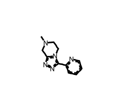 CN1CCn2c(nnc2-c2ccccn2)C1